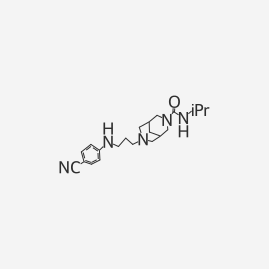 CC(C)NC(=O)N1CC2CC(CN(CCCNc3ccc(C#N)cc3)C2)C1